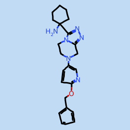 NC1(c2nnc3n2CCN(c2ccc(OCc4ccccc4)nc2)C3)CCCCC1